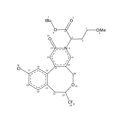 COCCC(C(=O)OC(C)(C)C)n1cc2c(cc1=O)-c1cc(Cl)ccc1CC(C(F)(F)F)OC2